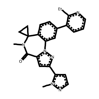 CCc1ncccc1-c1ccc2c(c1)-n1nc(-c3ccnn3C)cc1C(=O)N(C)C21CC1